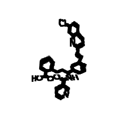 O=C(NC(CCc1ccccc1C(=O)O)c1cccc(/C=C/c2ccc3ccc(Cl)cc3n2)c1)c1cccnc1